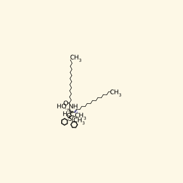 CCCCCCCCCCCCC/C=C/[C@@H](O[Si](c1ccccc1)(c1ccccc1)C(C)(C)C)[C@H](CO)NC(=O)CCCCCCCCCCCCCCC